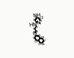 Nc1ccnc(NCCCOc2ccc3ccccc3c2)c1